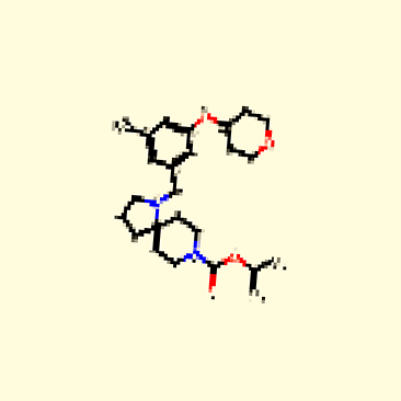 O=C(OC(C(F)(F)F)C(F)(F)F)N1CCC2(CCCN2Cc2cc(OC3CCOCC3)cc(C(F)(F)F)c2)CC1